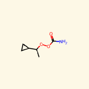 CC(OOC(N)=O)C1CC1